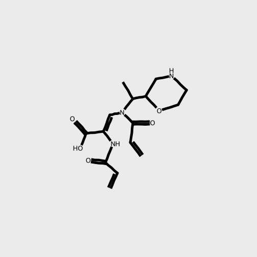 C=CC(=O)NC(=CN(C(=O)C=C)C(C)C1CNCCO1)C(=O)O